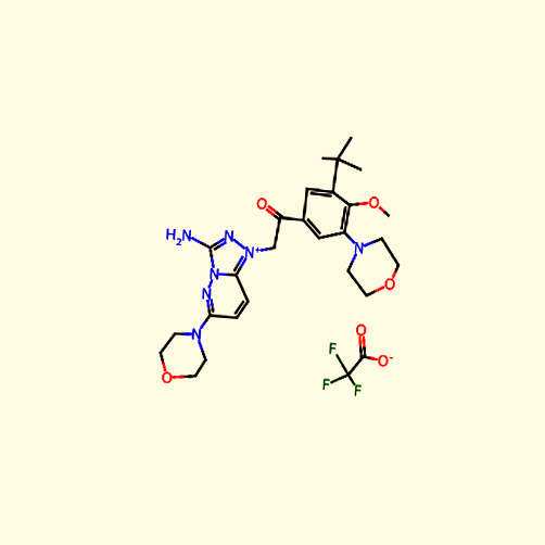 COc1c(N2CCOCC2)cc(C(=O)C[n+]2nc(N)n3nc(N4CCOCC4)ccc32)cc1C(C)(C)C.O=C([O-])C(F)(F)F